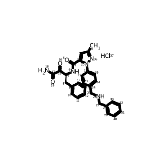 Cc1cc(C(=O)N[C@@H](Cc2ccccc2)C(=O)C(N)=O)n(-c2ccc(CNCc3ccccc3)cc2)n1.Cl